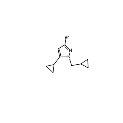 Brc1cc(C2CC2)n(CC2CC2)n1